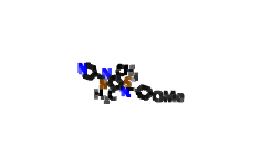 COc1ccc(-c2nc3c(C)c4sc(-c5ccncc5)nc4c(C)c3s2)cc1